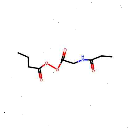 CCCC(=O)OOC(=O)CNC(=O)CC